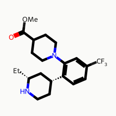 CC[C@@H]1C[C@H](c2ccc(C(F)(F)F)cc2N2CCC(C(=O)OC)CC2)CCN1